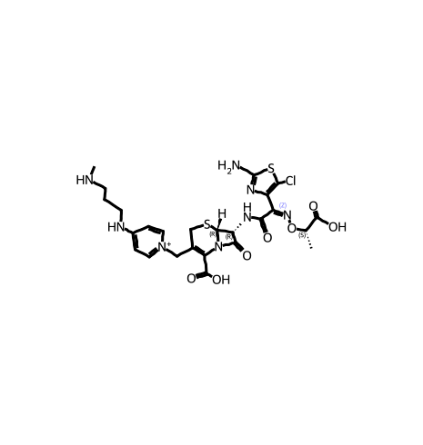 CNCCCNc1cc[n+](CC2=C(C(=O)O)N3C(=O)[C@@H](NC(=O)/C(=N\O[C@@H](C)C(=O)O)c4nc(N)sc4Cl)[C@H]3SC2)cc1